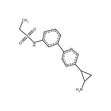 CCS(=O)(=O)Nc1cccc(-c2ccc(C3CC3N)cn2)c1